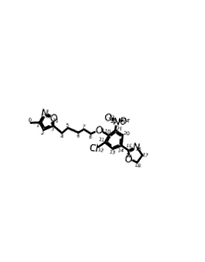 Cc1cc(CCCCCOc2c(Cl)cc(C3=NCCO3)cc2[N+](=O)[O-])on1